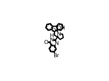 O=C(O)N1CCCC1(CC1c2ccccc2-c2ccccc21)c1nc2cc(Br)ccc2c(=O)[nH]1